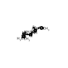 Cc1nc2cnc(N)c(C#Cc3cncc(C(=O)Nc4ccc(OCCN5CCN(C)CC5)c(C(F)(F)F)c4)c3)c2nc1C